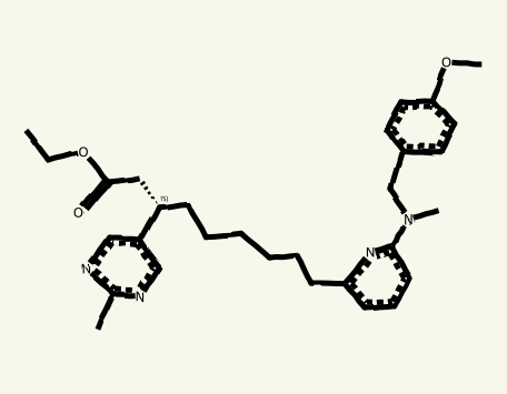 CCOC(=O)C[C@H](CCCCCCc1cccc(N(C)Cc2ccc(OC)cc2)n1)c1cnc(C)nc1